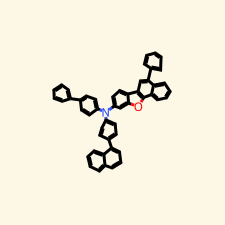 c1ccc(-c2ccc(N(c3ccc(-c4cccc5ccccc45)cc3)c3ccc4c(c3)oc3c5ccccc5c(-c5ccccc5)cc43)cc2)cc1